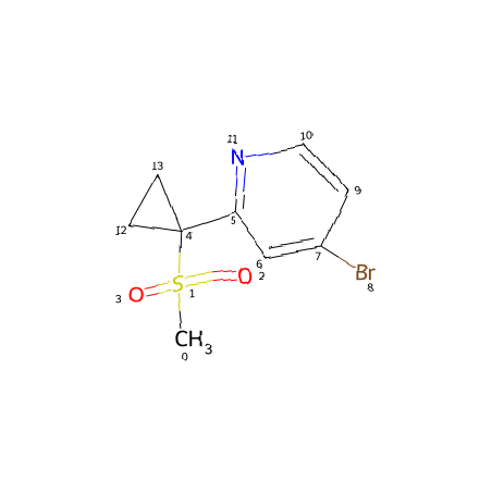 CS(=O)(=O)C1(c2cc(Br)ccn2)CC1